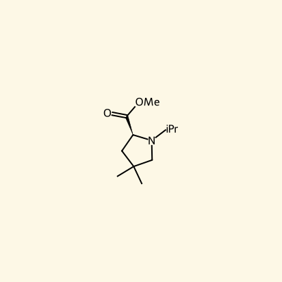 COC(=O)[C@@H]1CC(C)(C)CN1C(C)C